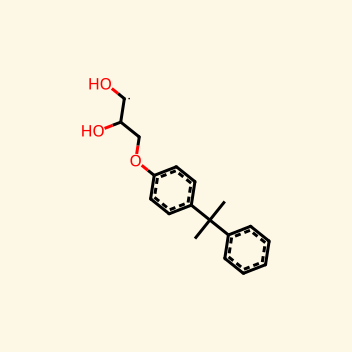 CC(C)(c1ccccc1)c1ccc(OCC(O)[CH]O)cc1